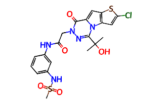 CC(C)(O)c1nn(CC(=O)Nc2cccc(NS(C)(=O)=O)c2)c(=O)c2cc3sc(Cl)cc3n12